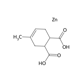 CC1=CCC(C(=O)O)C(C(=O)O)C1.[Zn]